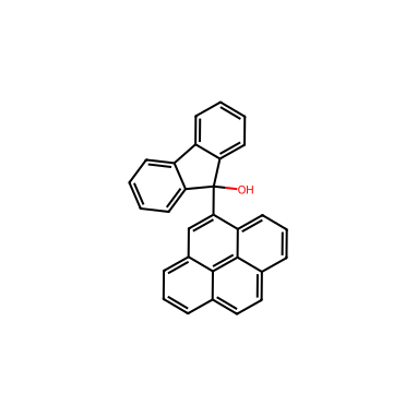 OC1(c2cc3cccc4ccc5cccc2c5c43)c2ccccc2-c2ccccc21